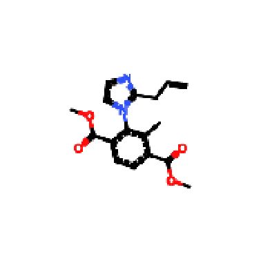 C=CCc1nccn1-c1c(C(=O)OC)ccc(C(=O)OC)c1C